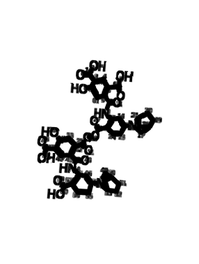 O=C(O)c1cc(C(=O)O)c(C(=O)Nc2cc(N3CC4CCC3C4)ccc2C(=O)OOC(=O)c2cc(O)c(C(=O)O)cc2C(=O)Nc2cc(N3CC4CCC3C4)ccc2C(=O)O)cc1O